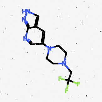 FC(F)(F)CN1CCN(c2cnc3n[nH]cc3c2)CC1